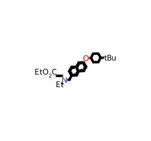 CCOC(=O)CCN(CC)Cc1ccc2cc(OC3CCC(C(C)(C)C)CC3)ccc2c1